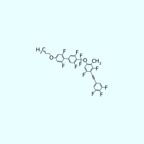 C=CCOc1cc(F)c(-c2cc(F)c(C(F)(F)Oc3cc(F)c(C#Cc4cc(F)c(F)c(F)c4)c(F)c3C)c(F)c2)c(F)c1